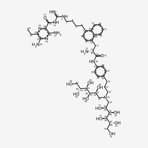 N=C(NCCCCc1ccc(C[C@@H](N)C(=O)Nc2ccc(CCCN(C[C@H](O)[C@@H](O)[C@H](O)[C@H](O)CO)C[C@H](O)[C@@H](O)[C@H](O)[C@H](O)CO)cc2)c2ccccc12)NC(=O)c1nc(CI)c(N)nc1N